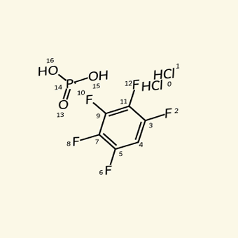 Cl.Cl.Fc1cc(F)c(F)c(F)c1F.O=[P](O)O